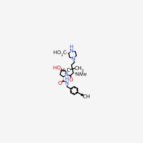 C#Cc1ccc(CNC(=O)[C@@H]2C[C@@H](O)CN2C(=O)[C@@H](NC)C(C)(C)CCN2CCN[C@@H](C(=O)O)C2)cc1